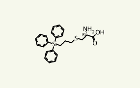 N[C@@H](CSCCC[Si](c1ccccc1)(c1ccccc1)c1ccccc1)C(=O)O